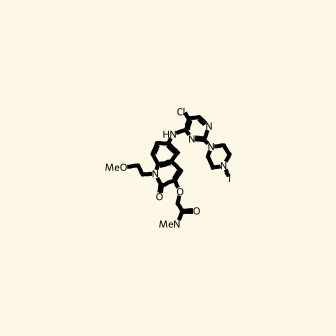 CNC(=O)COc1cc2cc(Nc3nc(N4CCN(I)CC4)ncc3Cl)ccc2n(CCOC)c1=O